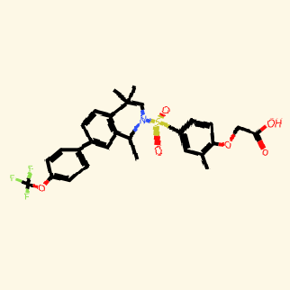 Cc1cc(S(=O)(=O)N2CC(C)(C)c3ccc(-c4ccc(OC(F)(F)F)cc4)cc3C2C)ccc1OCC(=O)O